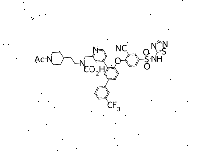 CC(=O)N1CCC(CCN(Cc2cc(-c3cc(-c4cccc(C(F)(F)F)c4)ccc3Oc3ccc(S(=O)(=O)Nc4ncns4)cc3C#N)ccn2)C(=O)O)CC1